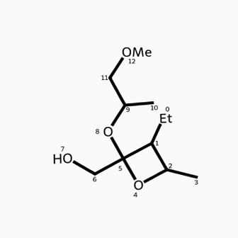 CCC1C(C)OC1(CO)OC(C)COC